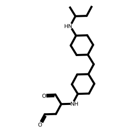 CCC(C)NC1CCC(CC2CCC(NC(C=O)CC=O)CC2)CC1